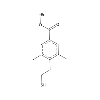 Cc1cc(C(=O)OC(C)(C)C)cc(C)c1CCS